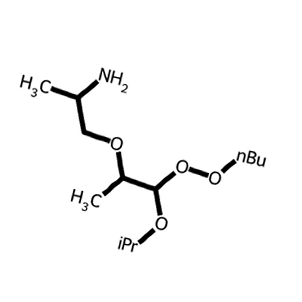 CCCCOOC(OC(C)C)C(C)OCC(C)N